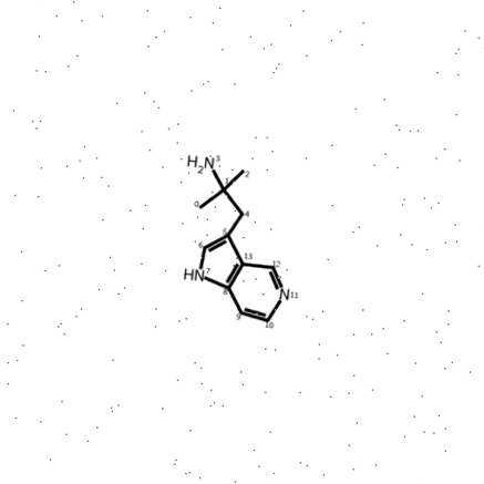 CC(C)(N)Cc1c[nH]c2ccncc12